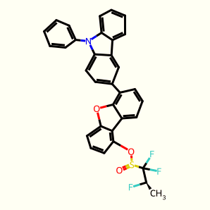 C[C@@H](F)C(F)(F)S(=O)Oc1cccc2oc3c(-c4ccc5c(c4)c4ccccc4n5-c4ccccc4)cccc3c12